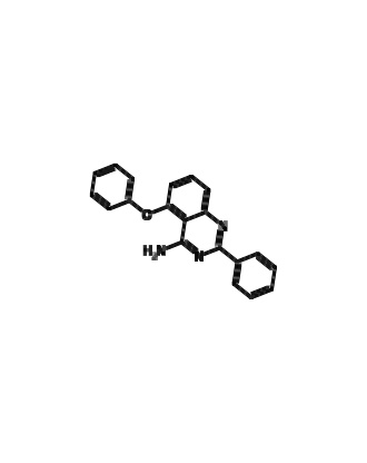 Nc1nc(-c2ccccc2)nc2cccc(Oc3ccccc3)c12